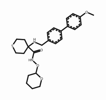 COc1ccc(-c2ccc(CNC3(C(=O)NOC4CCCCO4)CCSCC3)cc2)cc1